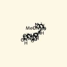 COc1ncc2ccc(=O)n(CCN[C@@H]3CC[C@@H]4[C@@H](C3)OC(=O)N4c3ccc4c(n3)NC(=O)CO4)c2n1